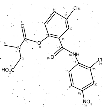 CN(CC(=O)O)C(=O)Oc1ccc(Cl)cc1C(=O)Nc1ccc([N+](=O)[O-])cc1Cl